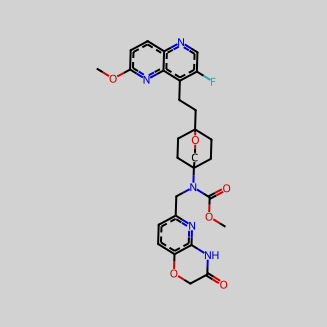 COC(=O)N(Cc1ccc2c(n1)NC(=O)CO2)C12CCC(CCc3c(F)cnc4ccc(OC)nc34)(CC1)OC2